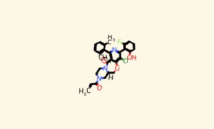 C=CC(=O)N1CCN2C(=O)c3c(-c4c(C)cccc4C)nc(-c4c(O)cccc4F)c(Cl)c3OC[C@H]2C1